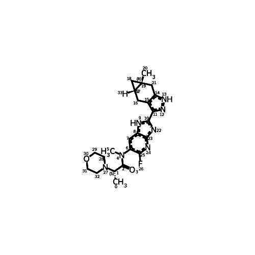 C[C@@H](C(=O)N(C)c1cc2[nH]c(-c3n[nH]c4c3C[C@@H]3C[C@]3(C)C4)nc2nc1F)N1CCOCC1